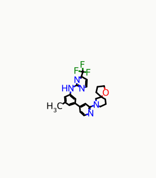 Cc1cc(Nc2nccc(C(F)(F)F)n2)cc(-c2ccnc(N3CCCC4(CCCO4)C3)c2)c1